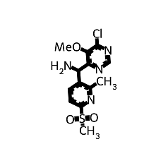 COc1c(Cl)ncnc1C(N)c1ccc(S(C)(=O)=O)nc1C